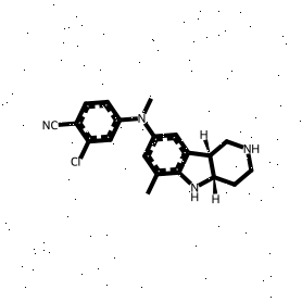 Cc1cc(N(C)c2ccc(C#N)c(Cl)c2)cc2c1N[C@H]1CCNC[C@@H]21